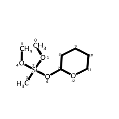 CO[Si](C)(OC)OC1CCCCO1